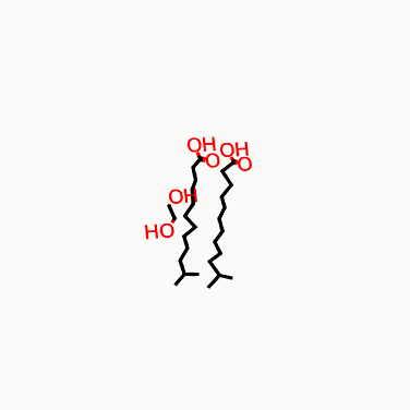 CC(C)CCCCCCCCCC(=O)O.CC(C)CCCCCCCCCC(=O)O.OCCO